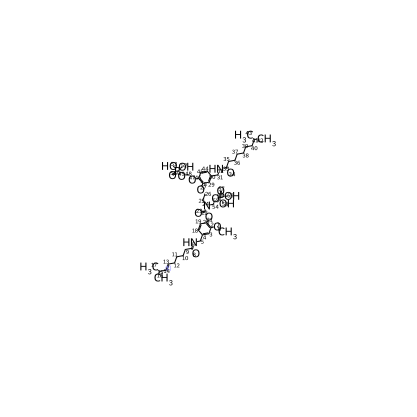 COc1cc(CNC(=O)CCCC/C=C/C(C)C)ccc1OC(=O)N(CCOc1cc(CNC(=O)CCCCCCC(C)C)ccc1OCOP(=O)(O)O)COP(=O)(O)O